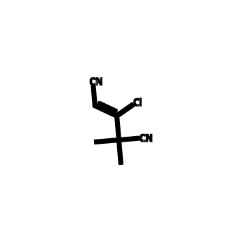 CC(C)(C#N)/C(Cl)=C/C#N